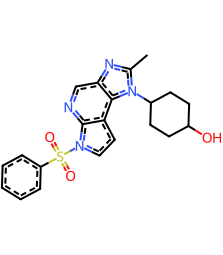 Cc1nc2cnc3c(ccn3S(=O)(=O)c3ccccc3)c2n1C1CCC(O)CC1